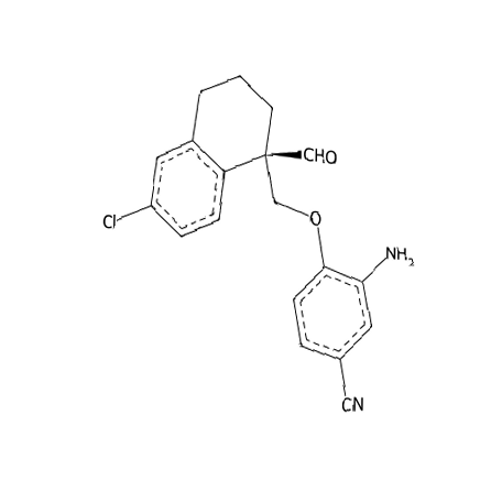 N#Cc1ccc(OC[C@@]2(C=O)CCCc3cc(Cl)ccc32)c(N)c1